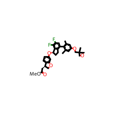 COC(=O)C[C@@H]1COc2cc(O[C@@H]3CCc4c(-c5c(C)cc(OCC6(C)COC6)cc5C)cc(F)c(F)c43)ccc21